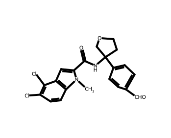 Cn1c(C(=O)NC2(c3ccc(C=O)cc3)CCOC2)cc2c(Cl)c(Cl)ccc21